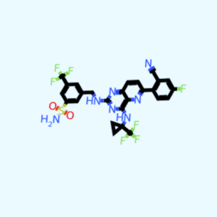 N#Cc1cc(F)ccc1-c1ccc2nc(NCc3cc(C(F)(F)F)cc(S(N)(=O)=O)c3)nc(NC3(C(F)(F)F)CC3)c2n1